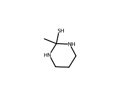 CC1(S)NCCCN1